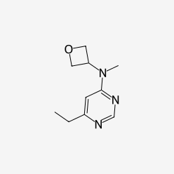 CCc1cc(N(C)C2COC2)ncn1